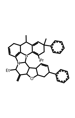 C=C1C2OC3CC(c4ccccc4)C=CC3C2C2N3C4=C(C(C)C)CC(C)(c5ccccc5)C=C4C(C)C4CC=CC(=C43)N2C1CC